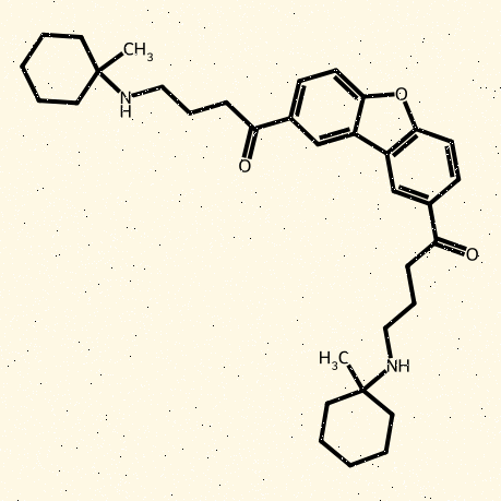 CC1(NCCCC(=O)c2ccc3oc4ccc(C(=O)CCCNC5(C)CCCCC5)cc4c3c2)CCCCC1